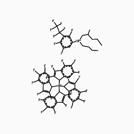 CCCC[PH+](CC(C)CCC)c1cc(F)c(F)c(C(F)(F)C(F)(F)F)c1F.FC1=C(F)[CH]([Al-]([CH]2C(F)=C(F)c3c2cc(F)c(F)c3F)([CH]2C(F)=C(F)c3c2cc(F)c(F)c3F)[CH]2C(F)=C(F)c3c2cc(F)c(F)c3F)c2cc(F)c(F)c(F)c21